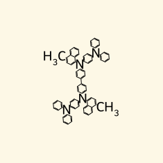 Cc1ccc(N(c2ccc(-c3ccc(N(c4ccc(N(c5ccccc5)c5ccccc5)cc4)c4ccc(C)c5ccccc45)cc3)cc2)c2ccc(N(c3ccccc3)c3ccccc3)cc2)c2ccccc12